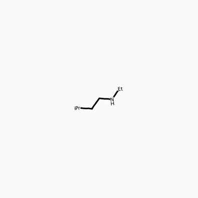 [CH2]CNCCC(C)C